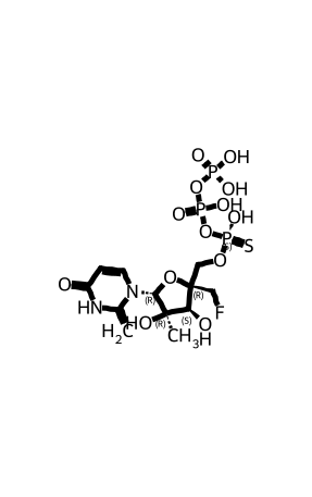 C=C1NC(=O)C=CN1[C@@H]1O[C@](CF)(CO[P@](O)(=S)OP(=O)(O)OP(=O)(O)O)[C@@H](O)[C@@]1(C)O